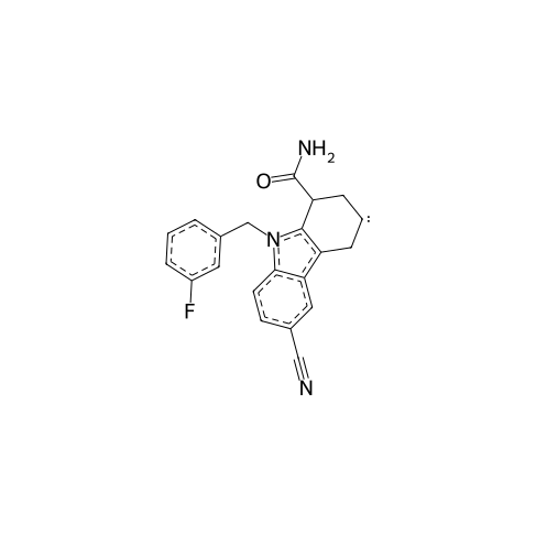 N#Cc1ccc2c(c1)c1c(n2Cc2cccc(F)c2)C(C(N)=O)C[C]C1